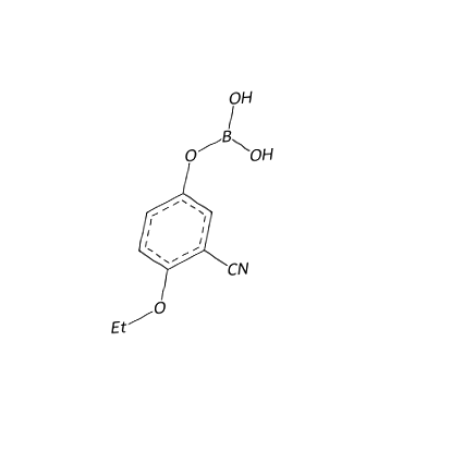 CCOc1ccc(OB(O)O)cc1C#N